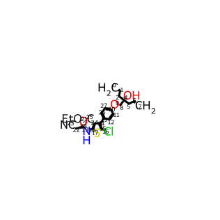 C=CCC(O)(CC=C)COc1ccc(-c2c(Cl)sc(NC(=O)CC#N)c2C(=O)OCC)cc1